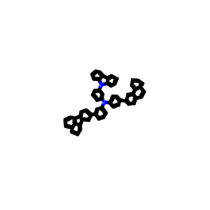 c1cc(-c2ccc3c(c2)-c2cccc4cccc-3c24)cc(N(c2ccc(-c3ccc4ccc5ccccc5c4c3)cc2)c2cccc(-n3c4ccccc4c4ccccc43)c2)c1